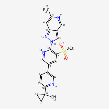 CCS(=O)(=O)c1cc(-c2ccc(C3(C#N)CC3)nc2)cnc1-n1cc2cnc(C(F)(F)F)cc2n1